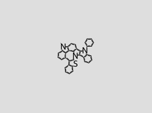 Cn1c2cccc3c2c2c1ccc1c4c(c5ccccc5n4-c4ccccc4)n(c4sc5ccccc5c34)c12